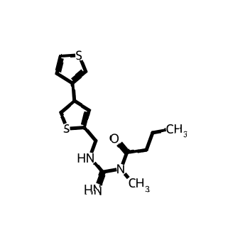 CCCC(=O)N(C)C(=N)NCC1=CC(c2ccsc2)CS1